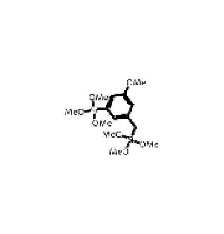 COc1cc(C[Si](OC)(OC)OC)cc([Si](OC)(OC)OC)c1